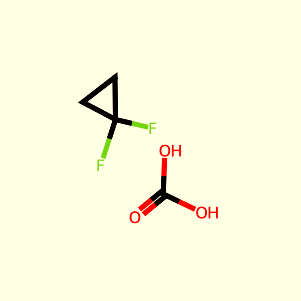 FC1(F)CC1.O=C(O)O